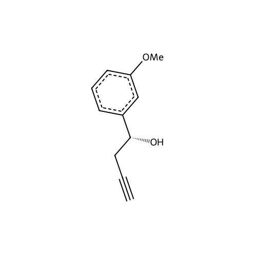 C#CC[C@@H](O)c1cccc(OC)c1